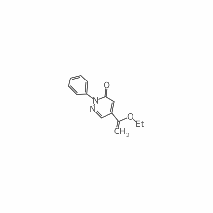 C=C(OCC)c1cnn(-c2ccccc2)c(=O)c1